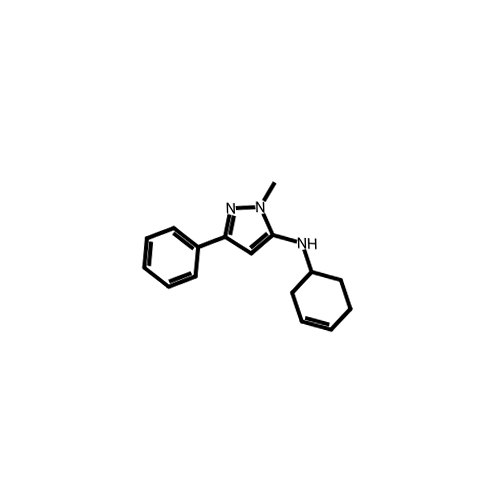 Cn1nc(-c2ccccc2)cc1NC1CC=CCC1